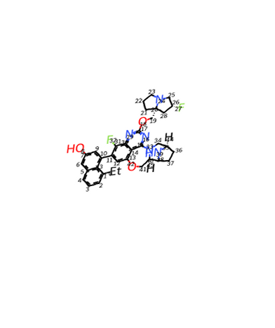 CCc1cccc2cc(O)cc(-c3cc4c5c(nc(OC[C@]67CCCN6C[C@H](F)C7)nc5c3F)N3C[C@H]5CCC(N5)[C@H]3CO4)c12